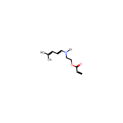 C=CC(=O)OCCN(C=CC=C(C#N)C#N)CC